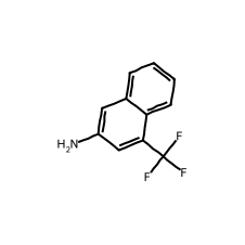 Nc1cc(C(F)(F)F)c2ccccc2c1